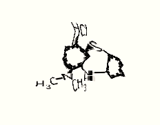 CN(C)c1cccc2c1Nc1ccccc1S2.Cl